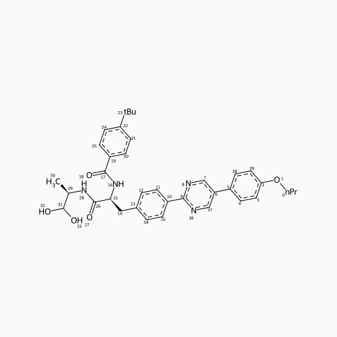 CCCOc1ccc(-c2cnc(-c3ccc(C[C@H](NC(=O)c4ccc(C(C)(C)C)cc4)C(=O)N[C@H](C)C(O)O)cc3)nc2)cc1